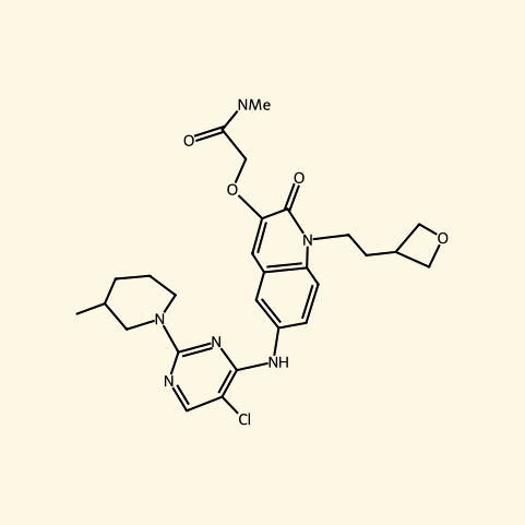 CNC(=O)COc1cc2cc(Nc3nc(N4CCCC(C)C4)ncc3Cl)ccc2n(CCC2COC2)c1=O